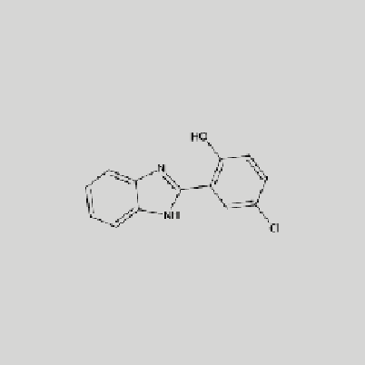 Oc1ccc(Cl)cc1-c1nc2ccccc2[nH]1